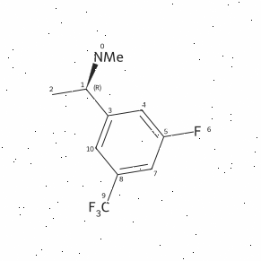 CN[C@H](C)c1cc(F)cc(C(F)(F)F)c1